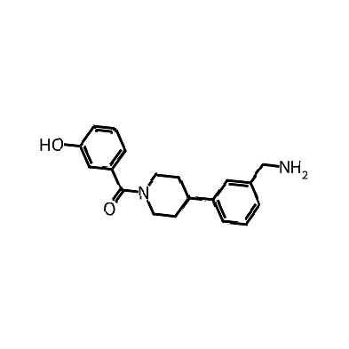 NCc1cccc(C2CCN(C(=O)c3cccc(O)c3)CC2)c1